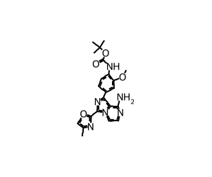 COc1cc(-c2nc(-c3nc(C)co3)n3ccnc(N)c23)ccc1NC(=O)OC(C)(C)C